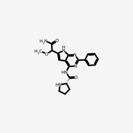 COC(C(N)=O)c1cc2c(NC(=O)[C@@H]3CCCN3)nc(-c3ccccc3)nc2[nH]1